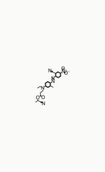 CCN(CCC(=O)OC(C)C#N)c1ccc(/N=N/c2ccc([N+](=O)[O-])cc2C#N)c(C)c1